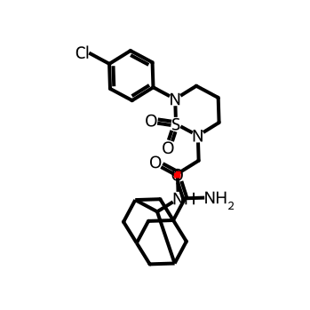 NC(=O)C12CC3CC(C1)C(NC(=O)CN1CCCN(c4ccc(Cl)cc4)S1(=O)=O)C(C3)C2